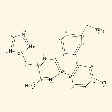 NCc1ccc(-c2nc(Cn3ncnn3)c(C(=O)O)nc2-c2ccc(Cl)cc2)cc1